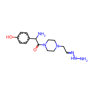 NNN=CCN1CCN(C(=O)C(N)c2ccc(O)cc2)CC1